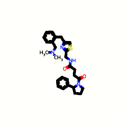 CN(C)Cc1ccccc1Cc1csc(CNC(=O)CCC(=O)N2CCCC2c2ccccc2)n1